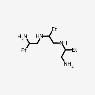 CCC(N)CNC(CC)CNC(CC)CN